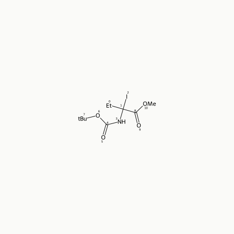 CCC(I)(NC(=O)OC(C)(C)C)C(=O)OC